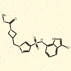 CC(C)(C)OC(=O)N1CC(Cn2cc(S(=O)(=O)Nc3cccc4c(Cl)c[nH]c34)cn2)C1